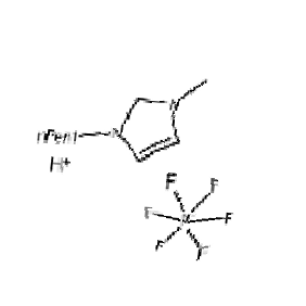 CCCCCN1C=CN(C)C1.F[P-](F)(F)(F)(F)F.[H+]